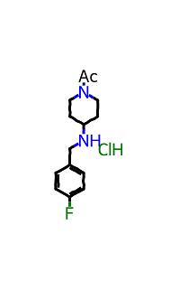 CC(=O)N1CCC(NCc2ccc(F)cc2)CC1.Cl